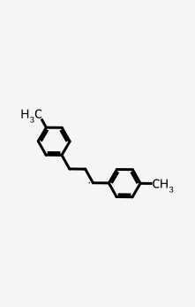 Cc1ccc([CH]CCc2ccc(C)cc2)cc1